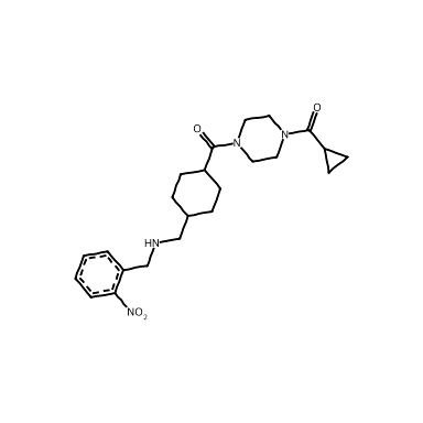 O=C(C1CCC(CNCc2ccccc2[N+](=O)[O-])CC1)N1CCN(C(=O)C2CC2)CC1